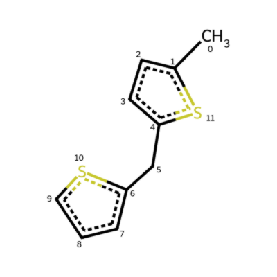 Cc1ccc(Cc2cccs2)s1